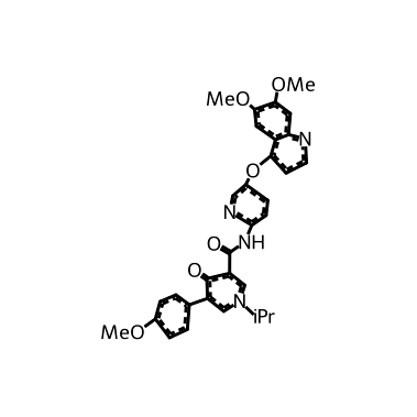 COc1ccc(-c2cn(C(C)C)cc(C(=O)Nc3ccc(Oc4ccnc5cc(OC)c(OC)cc45)cn3)c2=O)cc1